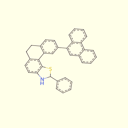 c1ccc(C2Nc3ccc4c(c3S2)-c2cc(-c3cc5ccccc5c5ccccc35)ccc2CC4)cc1